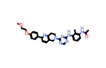 COCCOc1ccc(-c2ccc3c(n2)CCN(c2ncnc(Nc4cccc(NC(C)=O)c4C)n2)C3)cc1